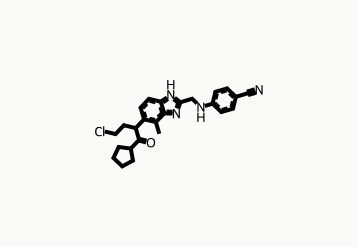 Cc1c(C(CCCl)C(=O)C2CCCC2)ccc2[nH]c(CNc3ccc(C#N)cc3)nc12